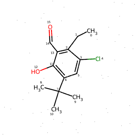 CCc1c(Cl)cc(C(C)(C)C)c(O)c1C=O